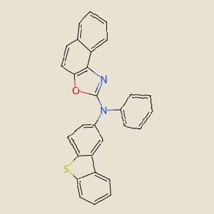 c1ccc(N(c2ccc3sc4ccccc4c3c2)c2nc3c(ccc4ccccc43)o2)cc1